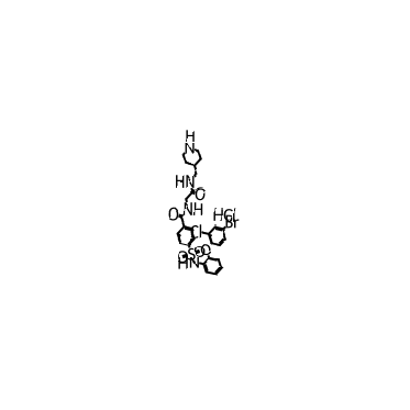 Cl.O=C(CNC(=O)c1ccc(S(=O)(=O)Nc2ccccc2Oc2ccc(Br)cc2Cl)cc1)NCC1CCNCC1